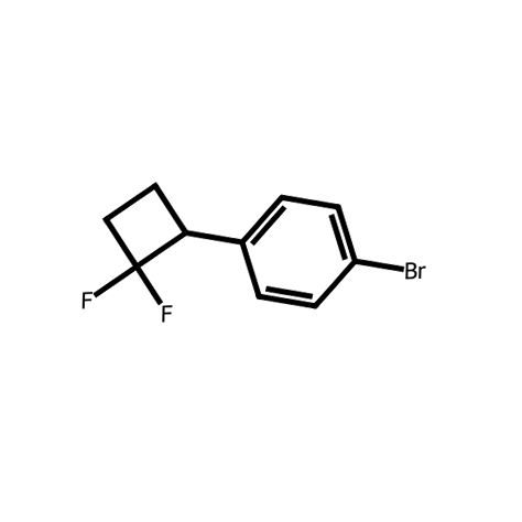 FC1(F)CCC1c1ccc(Br)cc1